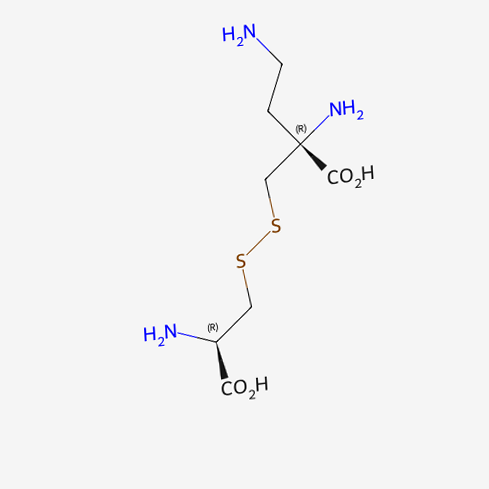 NCC[C@](N)(CSSC[C@H](N)C(=O)O)C(=O)O